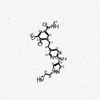 CNC(=O)c1cc(CCc2cnc(Nc3cnn(CCO)c3)nc2)c(Cl)c(OC)c1